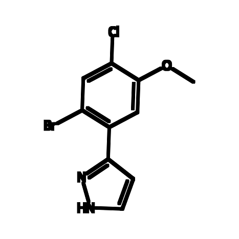 COc1cc(-c2cc[nH]n2)c(Br)cc1Cl